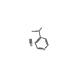 C#N.CC(C)c1ccncc1